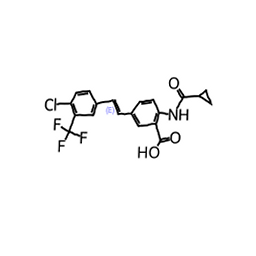 O=C(O)c1cc(/C=C/c2ccc(Cl)c(C(F)(F)F)c2)ccc1NC(=O)C1CC1